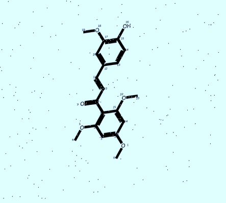 COc1cc(OC)c(C(=O)C=Cc2ccc(O)c(OC)c2)c(OC)c1